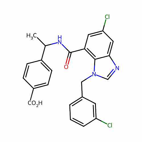 CC(NC(=O)c1cc(Cl)cc2ncn(Cc3cccc(Cl)c3)c12)c1ccc(C(=O)O)cc1